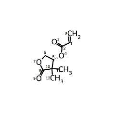 C=CC(=O)O[C@H]1COC(=O)C1(C)C